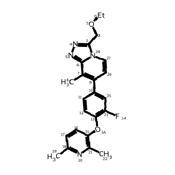 CCOCc1nnc2c(C)c(-c3ccc(Oc4ccc(C)nc4C)c(F)c3)ccn12